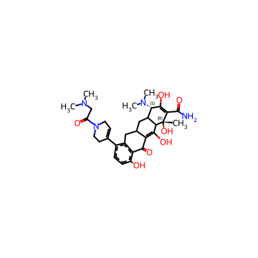 CN(C)CC(=O)N1CC=C(c2ccc(O)c3c2CC2CC4C(C(O)=C2C3=O)[C@@](C)(O)C(C(N)=O)=C(O)[C@H]4N(C)C)CC1